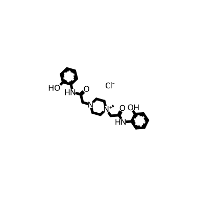 C[N+]1(CC(=O)Nc2ccccc2O)CCN(CC(=O)Nc2ccccc2O)CC1.[Cl-]